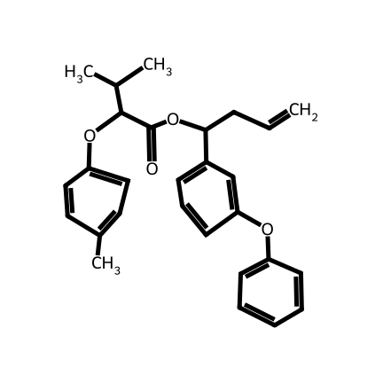 C=CCC(OC(=O)C(Oc1ccc(C)cc1)C(C)C)c1cccc(Oc2ccccc2)c1